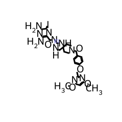 COc1cc(OC)nc(COc2ccc(C(=O)N3CCC4(CC3)CN/C(=N\C(=O)c3nc(I)c(N)nc3N)N4)cc2)n1